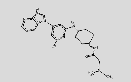 CN(C)CC(=O)N[C@H]1CC[C@H](Nc2cc(-c3c[nH]c4ncccc34)cc(Cl)n2)CC1